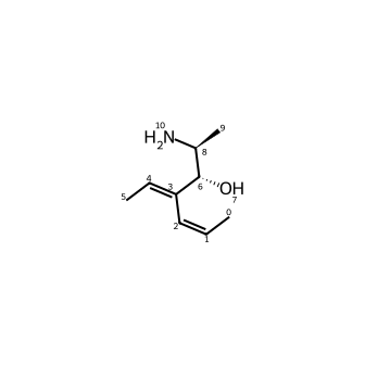 C/C=C\C(=C/C)[C@@H](O)[C@H](C)N